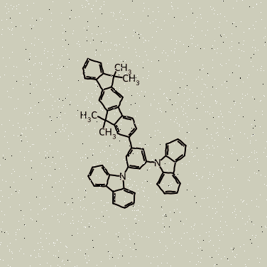 CC1(C)c2ccccc2-c2cc3c(cc21)-c1ccc(-c2cc(-n4c5ccccc5c5ccccc54)cc(-n4c5ccccc5c5ccccc54)c2)cc1C3(C)C